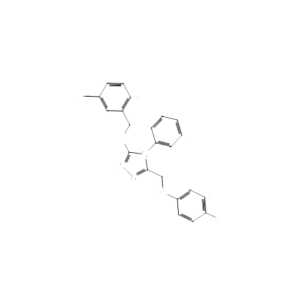 Clc1ccc(OCc2nnc(SCc3cccc(Cl)c3)n2-c2ccccc2)cc1